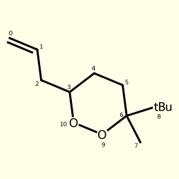 C=CCC1CCC(C)(C(C)(C)C)OO1